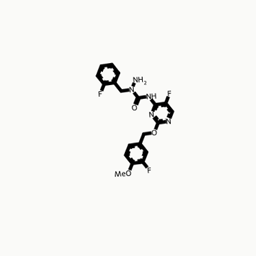 COc1ccc(COc2ncc(F)c(NC(=O)N(N)Cc3ccccc3F)n2)cc1F